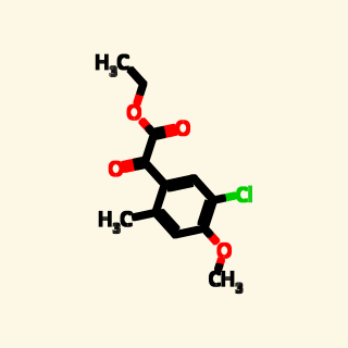 CCOC(=O)C(=O)c1cc(Cl)c(OC)cc1C